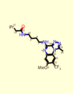 COc1cc2nc(NCCCCNC(=O)CC(C)C)c3nnc(C)n3c2cc1C(F)(F)F